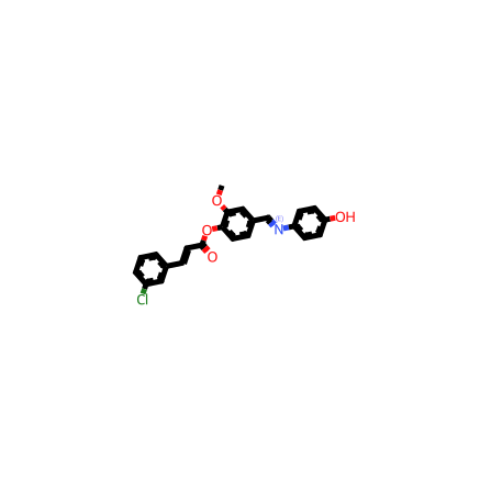 COc1cc(/C=N/c2ccc(O)cc2)ccc1OC(=O)C=Cc1cccc(Cl)c1